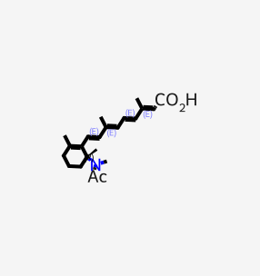 CC(=O)N(C)[C@]1(C)CCCC(C)=C1/C=C/C(C)=C/C=C/C(C)=C/C(=O)O